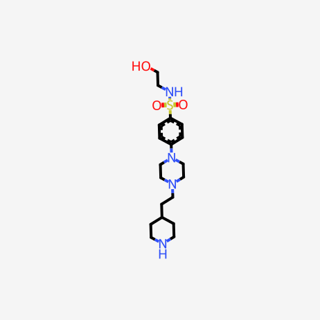 O=S(=O)(NCCO)c1ccc(N2CCN(CCC3CCNCC3)CC2)cc1